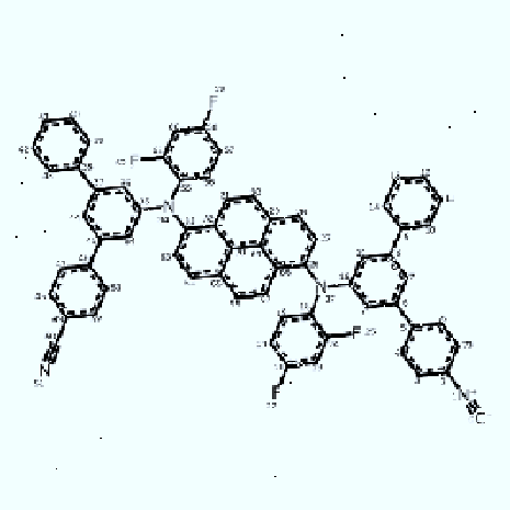 [C-]#[N+]c1ccc(-c2cc(-c3ccccc3)cc(N(c3ccc(F)cc3F)c3ccc4ccc5c(N(c6cc(-c7ccccc7)cc(-c7ccc(C#N)cc7)c6)c6ccc(F)cc6F)ccc6ccc3c4c65)c2)cc1